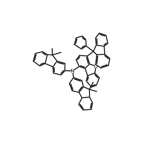 CC1(C)c2ccccc2-c2ccc(N(c3ccc4c(c3)C(C)(C)C3C=CC=CC43)c3ccc(C4(c5ccccc5)c5ccccc5-c5ccccc54)c4oc5ccccc5c34)cc21